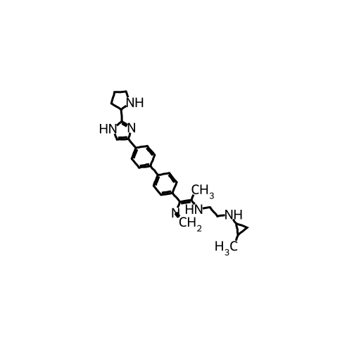 C=N/C(=C(/C)NCCNC1CC1C)c1ccc(-c2ccc(-c3c[nH]c(C4CCCN4)n3)cc2)cc1